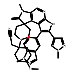 COC1CCC(CC#N)(N2CCC3(CC2)C(=O)N(C)c2cnc4[nH]c(-c5cnn(C)c5)c(-c5ccc6c(cnn6C)c5)c4c23)CC1